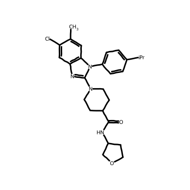 Cc1cc2c(cc1Cl)nc(N1CCC(C(=O)NC3CCOC3)CC1)n2-c1ccc(C(C)C)cc1